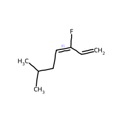 C=C/C(F)=C\CC(C)C